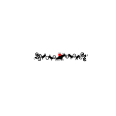 CS(=O)(=O)OCCOCCOCC12CC(COCCOCCOS(C)(=O)=O)(C1)C2